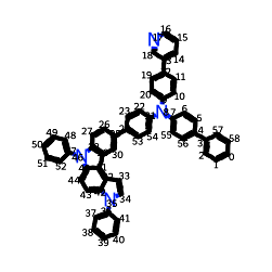 c1ccc(-c2ccc(N(c3ccc(-c4cccnc4)cc3)c3ccc(-c4ccc5c(c4)c4c6ccn(-c7ccccc7)c6ccc4n5-c4ccccc4)cc3)cc2)cc1